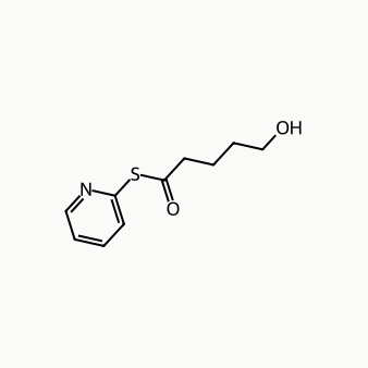 O=C(CCCCO)Sc1ccccn1